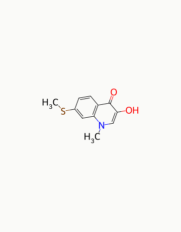 CSc1ccc2c(=O)c(O)cn(C)c2c1